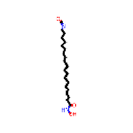 O=C=NCCCCCCCCCCCCCCCCCCCC(=O)NO